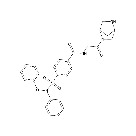 O=C(NCC(=O)N1CC2CC1CN2)c1ccc(S(=O)(=O)N(Oc2ccccc2)c2ccccc2)cc1